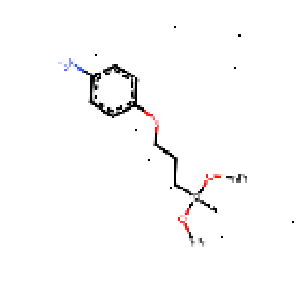 CCCO[Si](C)(CCCOc1ccc(N)cc1)OCCC